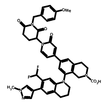 COc1ccc(CN2C(=O)CCC(n3ccc(-c4cc5c(c(N6CCCc7cc(-c8cnn(C)c8)c(C(F)F)cc76)c4)CN(C(=O)O)CC5)cc3=O)C2=O)cc1